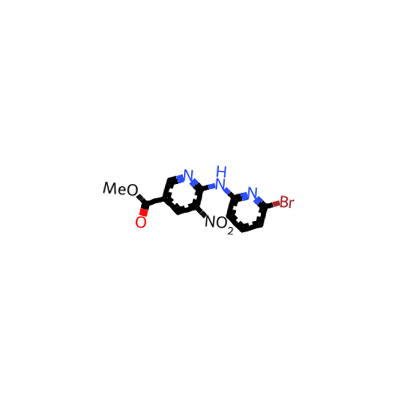 COC(=O)c1cnc(Nc2cccc(Br)n2)c([N+](=O)[O-])c1